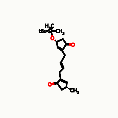 C[C@H]1C=C(C/C=C/CC2=C[C@H](O[Si](C)(C)C(C)(C)C)CC2=O)C(=O)C1